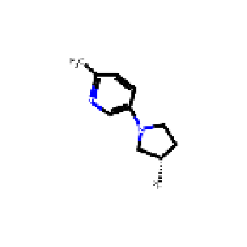 [2H][C@H]1CCN(c2ccc(C(F)(F)F)nc2)C1